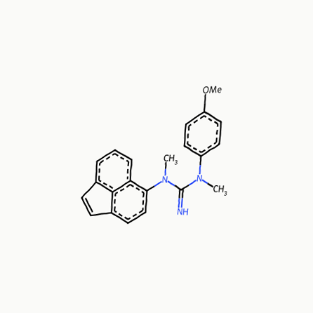 COc1ccc(N(C)C(=N)N(C)c2ccc3c4c(cccc24)C=C3)cc1